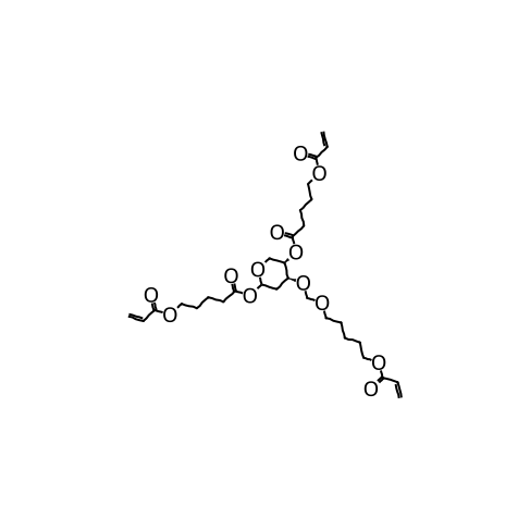 C=CC(=O)OCCCCCOCO[C@H]1CC(OC(=O)CCCCOC(=O)C=C)OC[C@H]1OC(=O)CCCCOC(=O)C=C